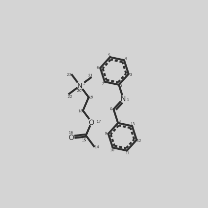 C(=N\c1ccccc1)/c1ccccc1.CC(=O)OCC[N+](C)(C)C